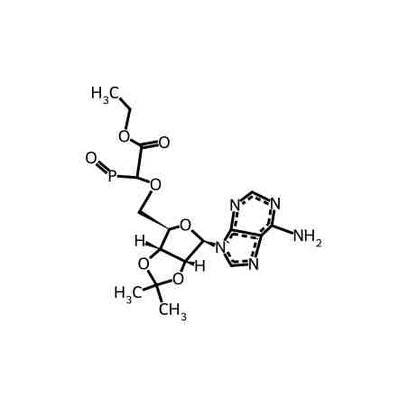 CCOC(=O)C(OC[C@H]1O[C@@H](n2cnc3c(N)ncnc32)[C@@H]2OC(C)(C)O[C@@H]21)P=O